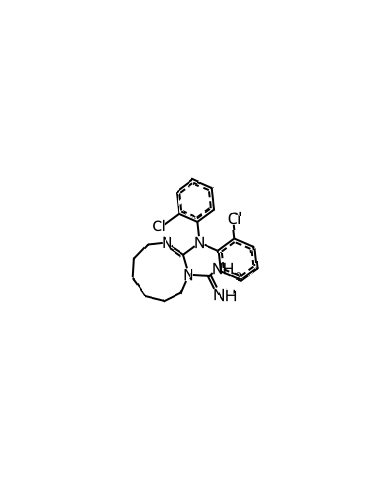 N=C(N)N1CCCCCCN=C1N(c1ccccc1Cl)c1ccccc1Cl